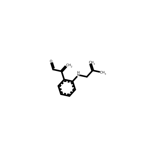 C=C(C)CNc1ccccc1C(=C)C=O